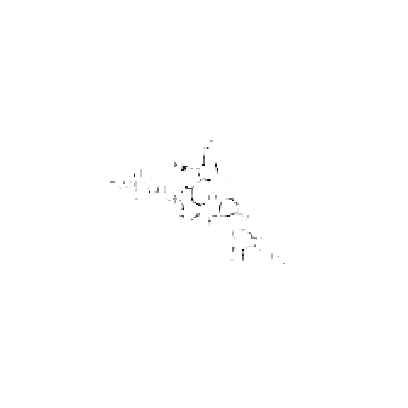 COc1cccc(-c2cn(COCC[Si](C)(C)C)c3nccc(Oc4c(F)cc(NC(=O)NC(C)C5COC5)cc4F)c23)c1C#N